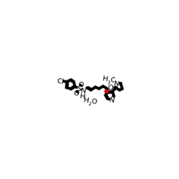 CN1CCCC1(OC(=O)CCCC=CNS(=O)(=O)c1ccc(Cl)cc1)c1cccnc1.O